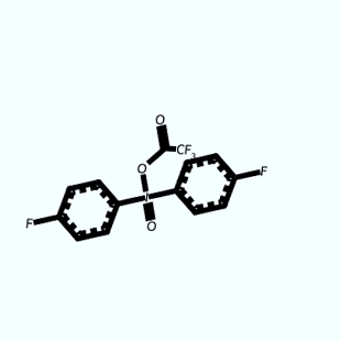 O=C(OI(=O)(c1ccc(F)cc1)c1ccc(F)cc1)C(F)(F)F